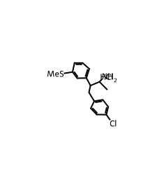 CSc1cccc(C(Cc2ccc(Cl)cc2)C(C)N)c1.Cl